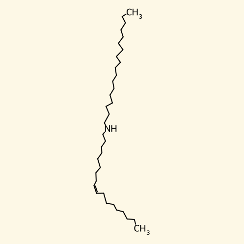 CCCCCCCC/C=C\CCCCCCCCNCCCCCCCCCCCCCCCCCC